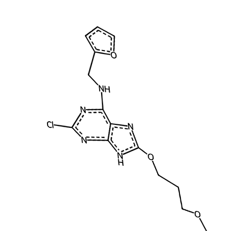 COCCCOc1nc2c(NCc3ccco3)nc(Cl)nc2[nH]1